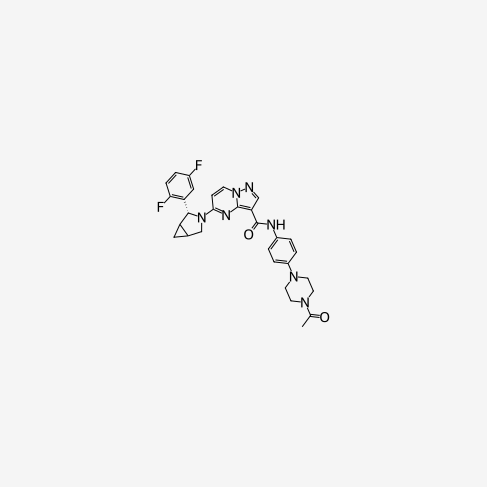 CC(=O)N1CCN(c2ccc(NC(=O)c3cnn4ccc(N5CC6CC6[C@@H]5c5cc(F)ccc5F)nc34)cc2)CC1